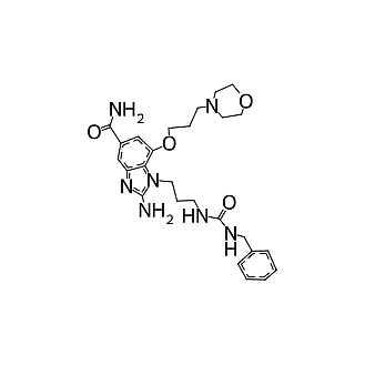 NC(=O)c1cc(OCCCN2CCOCC2)c2c(c1)nc(N)n2CCCNC(=O)NCc1ccccc1